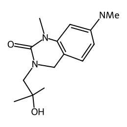 CNc1ccc2c(c1)N(C)C(=O)N(CC(C)(C)O)C2